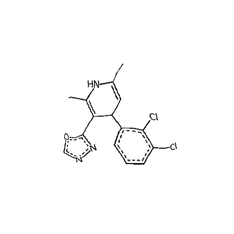 CC1=CC(c2cccc(Cl)c2Cl)C(c2nnco2)=C(C)N1